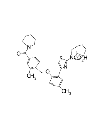 Cc1ccc(OCc2ccc(C(=O)N3CCCCC3)cc2C)c(-c2csc(N3CC4CCC(C3)C4C(=O)O)n2)c1